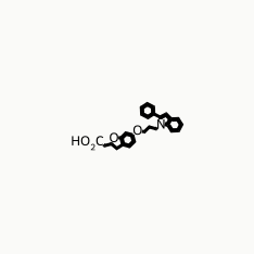 O=C(O)CC1Cc2ccc(OCCCn3c(-c4ccccc4)cc4ccccc43)cc2O1